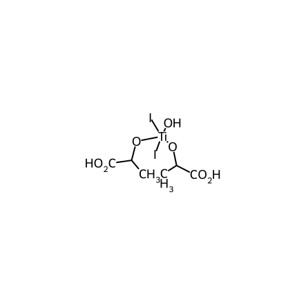 CC([O][Ti]([OH])([I])([I])[O]C(C)C(=O)O)C(=O)O